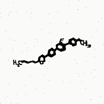 CCCCCC1=CCC(c2ccc(-c3ccc(-c4ccc(CC)cc4)c(F)c3)cc2)CO1